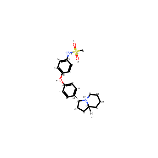 CS(=O)(=O)Nc1ccc(Oc2ccc([C@H]3CC[C@H]4CCCCN43)cc2)cc1